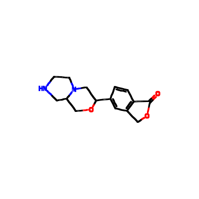 O=C1OCc2cc(C3CN4CCNCC4CO3)ccc21